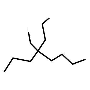 CCCCC(CI)(CCC)CCC